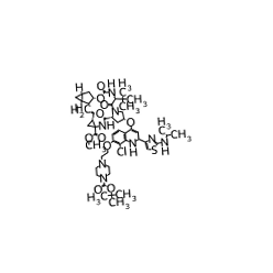 C=C[C@@H]1CC1(NC(=O)[C@@H]1C[C@@H](OC2=CC(c3csc(NC(C)C)n3)Nc3c2ccc(OCCN2CCN(C(=O)OC(C)(C)C)CC2)c3Cl)CN1C(=O)[C@@H](NC(=O)O[C@@H]1C[C@@H]2C[C@@H]2C1)C(C)(C)C)C(=O)OC